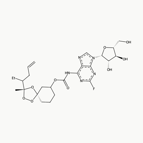 C=CCC(CC)[C@@]1(C)OO[C@@]2(CCCC(OC(=O)Nc3nc(F)nc4c3ncn4[C@@H]3O[C@H](CO)[C@@H](O)[C@@H]3O)C2)O1